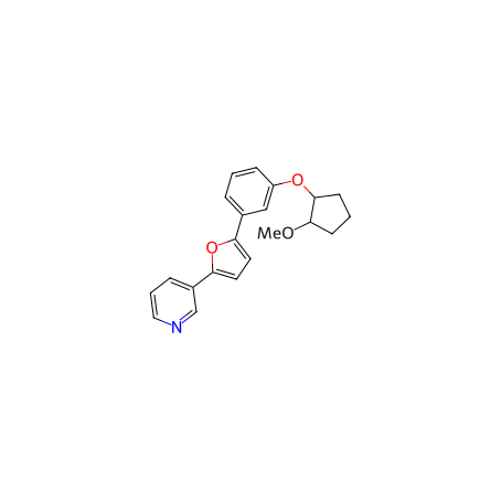 COC1CCCC1Oc1cccc(-c2ccc(-c3cccnc3)o2)c1